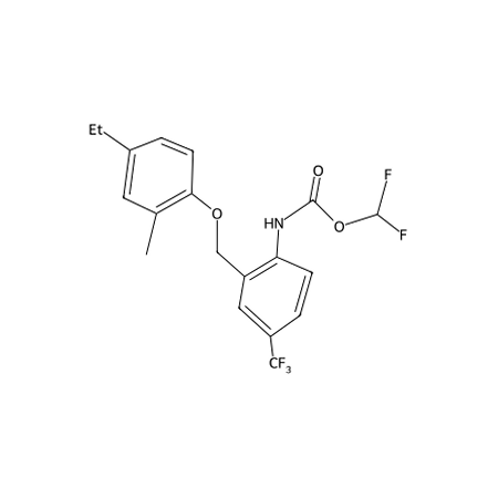 CCc1ccc(OCc2cc(C(F)(F)F)ccc2NC(=O)OC(F)F)c(C)c1